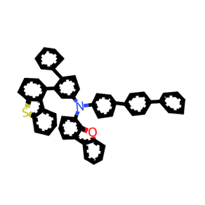 c1ccc(-c2ccc(-c3ccc(N(c4ccc(-c5ccccc5)c(-c5cccc6sc7ccccc7c56)c4)c4cccc5c4oc4ccccc45)cc3)cc2)cc1